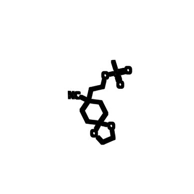 CS(=O)(=O)OCCC1(C#N)CCC2(CC1)OCCO2